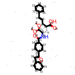 COC(OC)[C@H](C[C@H](CC=Cc1ccccc1)C(=O)O)NC(=O)c1ccc(-c2cc3ccccc3o2)cc1